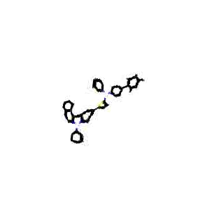 [2H]c1c([2H])c([2H])c(-c2ccc(N(c3ccccc3)c3ccc(-c4ccc5c(c4)c4c6ccccc6ccc4n5-c4ccccc4)s3)cc2)c([2H])c1[2H]